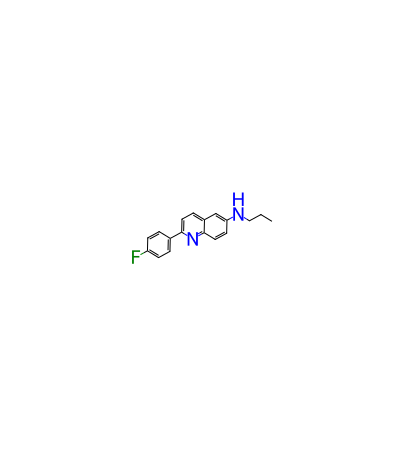 CCCNc1ccc2nc(-c3ccc(F)cc3)ccc2c1